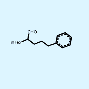 [CH2]CCCCCC(C=O)CCCc1ccccc1